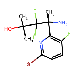 CC(C)(O)C(F)(F)[C@](C)(N)c1nc(Br)ccc1F